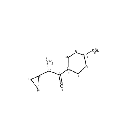 [CH2]CCCN1CCN(C(=O)[C@@H](N)C2CC2)CC1